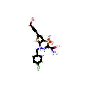 NC(=O)C1=NN(Cc2ccc(Cl)cc2)c2sc(C#CCO)cc2S1(=O)=O